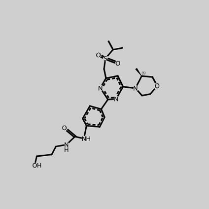 CC(C)S(=O)(=O)Cc1cc(N2CCOC[C@@H]2C)nc(-c2ccc(NC(=O)NCCCO)cc2)n1